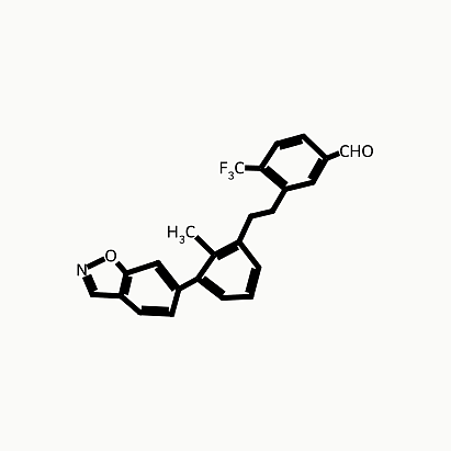 Cc1c(CCc2cc(C=O)ccc2C(F)(F)F)cccc1-c1ccc2cnoc2c1